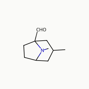 CC1CC2CCC(C=O)(C1)N2C